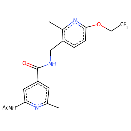 CC(=O)Nc1cc(C(=O)NCc2ccc(OCC(F)(F)F)nc2C)cc(C)n1